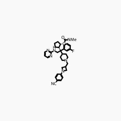 CNC(=O)O[C@H]1CCC[C@@H]1C(CNc1ncccn1)(c1cccc(F)c1)C1CCN(CC2CN(c3ccc(C#N)cc3)C2)CC1